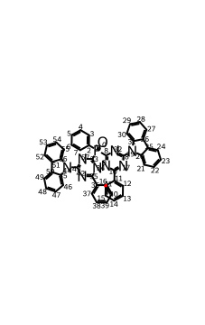 O=P(c1ccccc1)(c1nc(-c2ccccc2)nc(-n2c3ccccc3c3ccccc32)n1)c1nc(-c2ccccc2)nc(-n2c3ccccc3c3ccccc32)n1